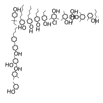 CCC(C)(C)c1ccc(O)cc1.CCCCCCc1ccc(O)cc1.CCCCCc1ccc(O)cc1.CCCCc1ccc(-c2ccc(O)cc2)cc1.CCC[CH]CCC.CCCc1ccc(O)cc1.CCc1ccc(O)cc1.Cc1cc(O)cc(C)c1Cl.Cc1ccc(C)c(O)c1.Cc1ccc(O)c(C)c1.Cc1ccc(O)cc1.Cc1ccc(O)cc1C.Cc1cccc(C)c1O.Cc1cccc(O)c1.Cc1ccccc1O